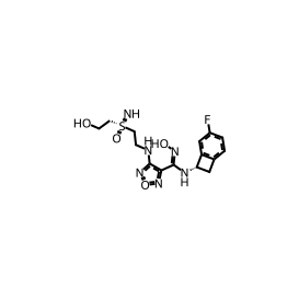 N=[S@@](=O)(CCO)CCNc1nonc1C(=NO)N[C@H]1Cc2ccc(F)cc21